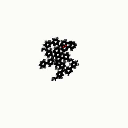 CC(C)c1ccc(N(c2cccc(-c3ccccc3)c2)c2ccc3c(c2)C(C)(C)c2cc4c(N(c5ccc(C(C)C)cc5)c5cccc(-c6ccccc6)c5)c5ccc(N(c6ccc(C(C)C)cc6)c6cccc(-c7ccccc7)c6)cc5c(N(c5ccc(C(C)C)cc5)c5cccc(-c6ccccc6)c5)c4cc2-3)cc1